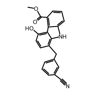 COC(=O)c1cccc2[nH]c3c(Cc4cccc(C#N)c4)ccc(O)c3c12